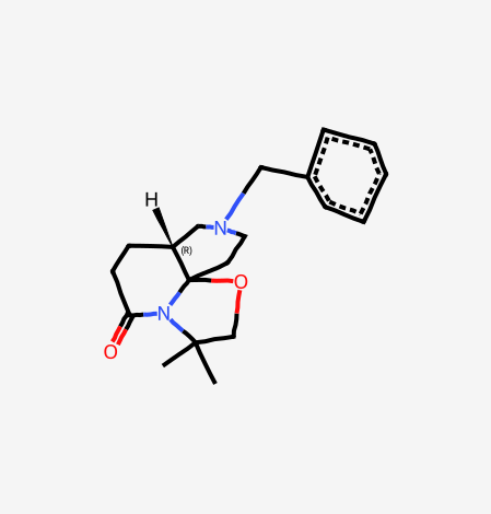 CC1(C)COC23CCN(Cc4ccccc4)C[C@H]2CCC(=O)N13